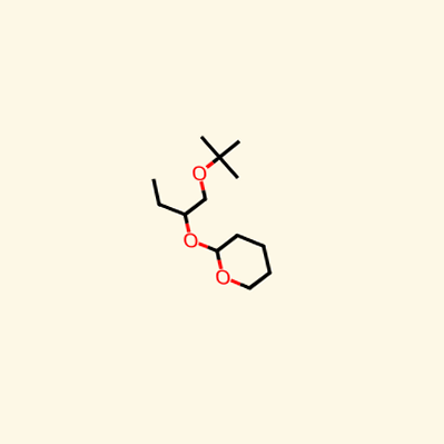 CCC(COC(C)(C)C)OC1CCCCO1